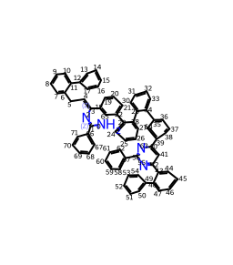 N/C(=N\C(=C/Cc1ccccc1-c1ccccc1)c1cccc(-c2ccccc2-c2ccccc2-c2cccc(-c3cc(-c4ccccc4-c4ccccc4)nc(-c4ccccc4)n3)c2)c1)c1ccccc1